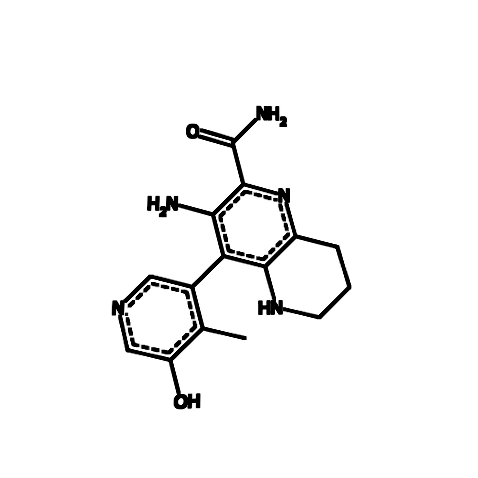 Cc1c(O)cncc1-c1c(N)c(C(N)=O)nc2c1NCCC2